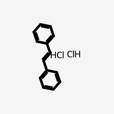 C(=Cc1ccccc1)c1ccccc1.Cl.Cl